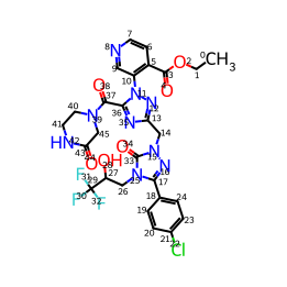 CCOC(=O)c1ccncc1-n1nc(Cn2nc(-c3ccc(Cl)cc3)n(CC(O)C(F)(F)F)c2=O)nc1C(=O)N1CCNC(=O)C1